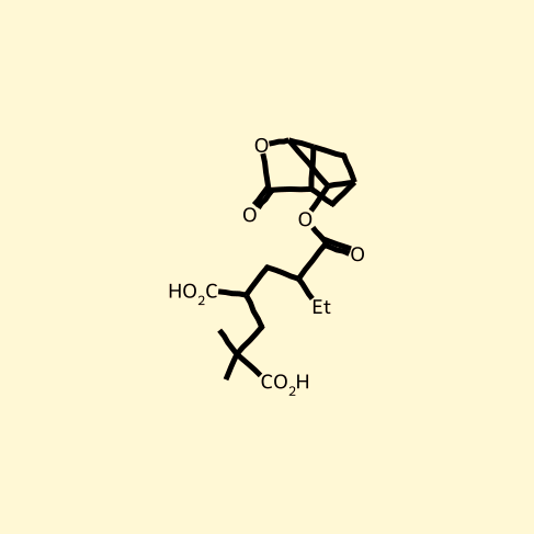 CCC(CC(CC(C)(C)C(=O)O)C(=O)O)C(=O)OC1C2CC3C(=O)OC1C3C2